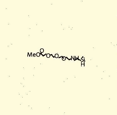 COC(=O)CCOCCOCCOCCNCCC[SiH](C)C